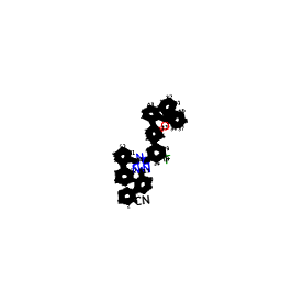 N#Cc1ccccc1-c1cccc(-c2nc(-c3cc(F)cc(-c4ccc5c(c4)OC(c4ccccc4)(c4ccccc4)c4ccccc4-5)c3)nc(-c3ccccc3-c3ccccc3)n2)c1